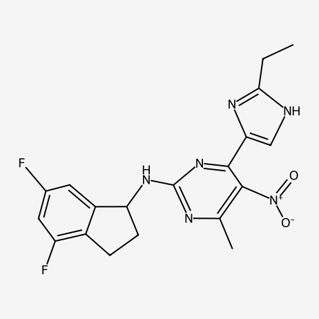 CCc1nc(-c2nc(NC3CCc4c(F)cc(F)cc43)nc(C)c2[N+](=O)[O-])c[nH]1